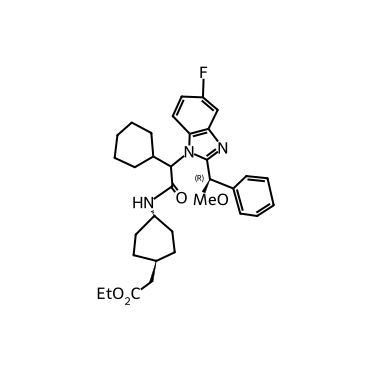 CCOC(=O)C[C@H]1CC[C@H](NC(=O)C(C2CCCCC2)n2c([C@H](OC)c3ccccc3)nc3cc(F)ccc32)CC1